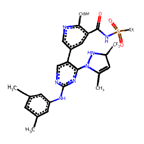 CCS(=O)(=O)NC(=O)c1cc(-c2cnc(Nc3cc(C)cc(C)c3)nc2N2NC(C(F)(F)F)C=C2C)cnc1OC